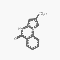 O=C(O)c1cc2[nH]c(=O)c3ccccc3n2c1